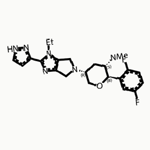 CCn1c(-c2cc[nH]n2)nc2c1CN([C@H]1CO[C@H](c3cc(F)ccc3F)[C@@H](NC)C1)C2